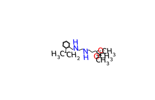 C=C(C)c1ccccc1CNCCNCCC[Si](C)(OC)OC